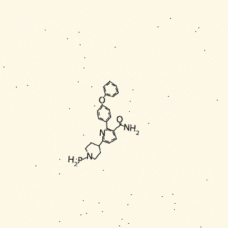 NC(=O)c1ccc(C2CCN(P)CC2)nc1-c1ccc(Oc2ccccc2)cc1